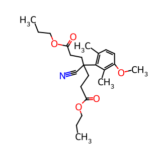 CCCOC(=O)CCC(C#N)(CCC(=O)OCCC)c1c(C)ccc(OC)c1C